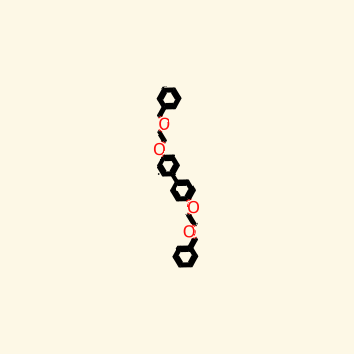 [c]1cc(OCCOCc2ccccc2)ccc1-c1ccc(OCCOCc2ccccc2)cc1